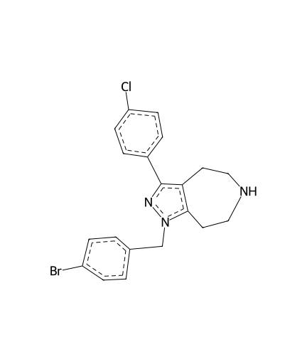 Clc1ccc(-c2nn(Cc3ccc(Br)cc3)c3c2CCNCC3)cc1